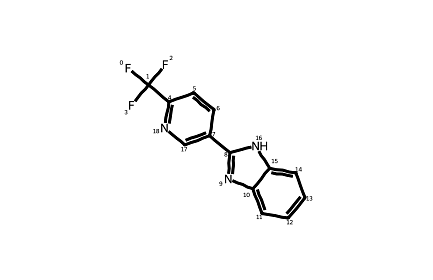 FC(F)(F)c1ccc(-c2nc3ccccc3[nH]2)cn1